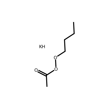 CCCCOOC(C)=O.[KH]